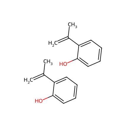 C=C(C)c1ccccc1O.C=C(C)c1ccccc1O